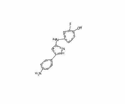 Nc1ccc(-c2cc(Nc3ccc(O)c(F)c3)n[nH]2)cc1